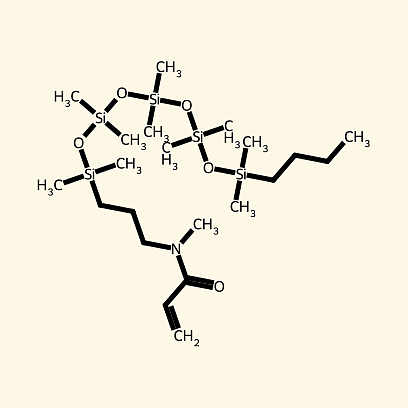 C=CC(=O)N(C)CCC[Si](C)(C)O[Si](C)(C)O[Si](C)(C)O[Si](C)(C)O[Si](C)(C)CCCC